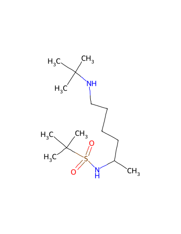 CC(CCCCNC(C)(C)C)NS(=O)(=O)C(C)(C)C